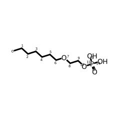 CCCCCCCOCCOP(=O)(O)O